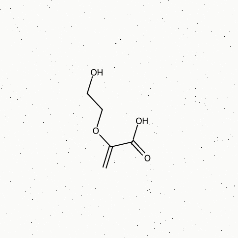 C=C(OCCO)C(=O)O